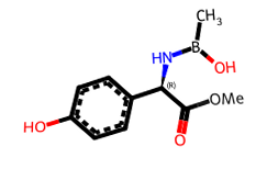 COC(=O)[C@H](NB(C)O)c1ccc(O)cc1